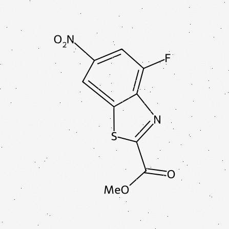 COC(=O)c1nc2c(F)cc([N+](=O)[O-])cc2s1